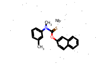 Cc1cccc(N(C)C(=S)Oc2ccc3ccccc3c2)c1.[Nb]